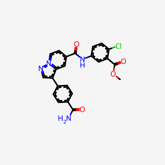 COC(=O)c1cc(NC(=O)c2ccn3ncc(-c4ccc(C(N)=O)cc4)c3c2)ccc1Cl